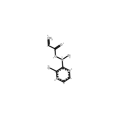 C=CC(=O)ON(CC)c1nccnc1Cl